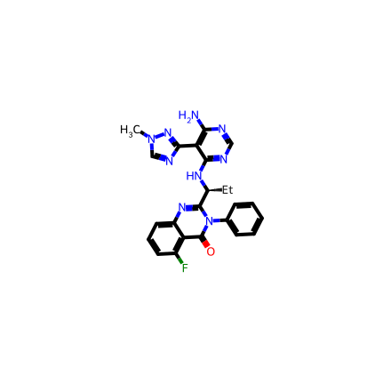 CC[C@H](Nc1ncnc(N)c1-c1ncn(C)n1)c1nc2cccc(F)c2c(=O)n1-c1ccccc1